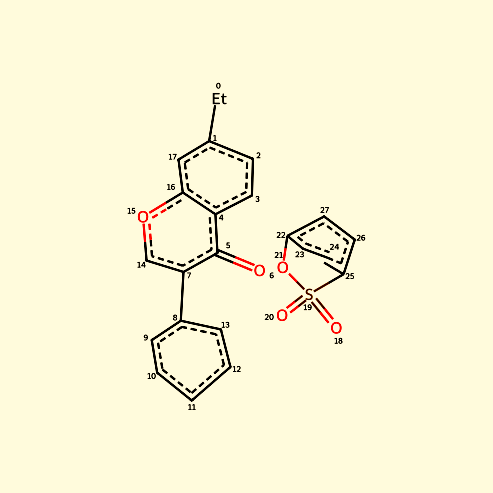 CCc1ccc2c(=O)c(-c3ccccc3)coc2c1.O=S1(=O)Oc2ccc1cc2